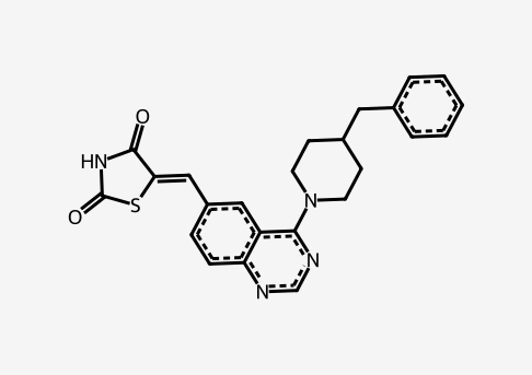 O=C1NC(=O)/C(=C/c2ccc3ncnc(N4CCC(Cc5ccccc5)CC4)c3c2)S1